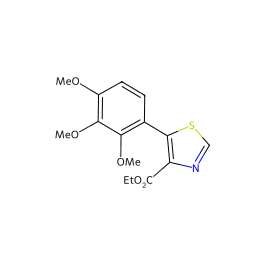 CCOC(=O)c1ncsc1-c1ccc(OC)c(OC)c1OC